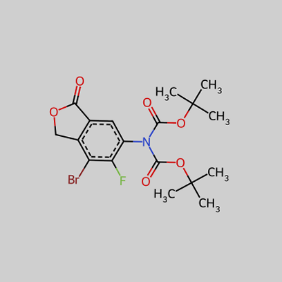 CC(C)(C)OC(=O)N(C(=O)OC(C)(C)C)c1cc2c(c(Br)c1F)COC2=O